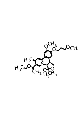 C=C1C=C2c3cc(OC)c(OCCCOC)cc3C3COC(C)(C)C3N2C=C1C(=C)OCC